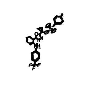 Cc1ccc(S(=O)(=O)OC2(c3nnc(-c4ccccc4Nc4ccc(C(F)(F)F)cc4)o3)CC2)cc1